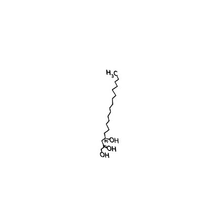 CCCCCCCCCCCCCCC[C@@H](O)C[C@@H](O)CO